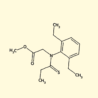 CCC(=S)N(CC(=O)OC)c1c(CC)cccc1CC